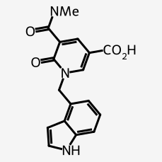 CNC(=O)c1cc(C(=O)O)cn(Cc2cccc3[nH]ccc23)c1=O